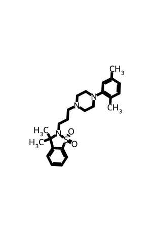 Cc1ccc(C)c(N2CCN(CCCN3C(C)(C)c4ccccc4S3(=O)=O)CC2)c1